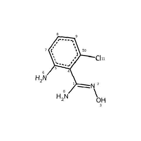 NC(=NO)c1c(N)cccc1Cl